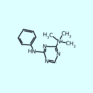 C[N+](C)(C)c1n[c]nc(Nc2ccccc2)n1